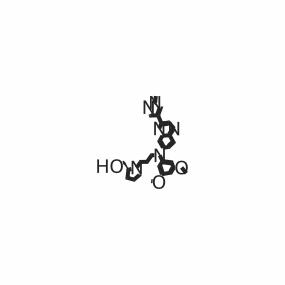 COc1cc(OC)cc(N(CCCN2CCC[C@H]2CO)c2ccc3ncc(-c4cnn(C)c4)nc3c2)c1